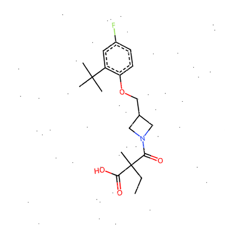 CCC(C)(C(=O)O)C(=O)N1CC(COc2ccc(F)cc2C(C)(C)C)C1